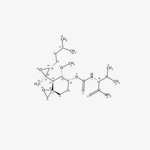 CO[C@@H]1[C@H](OC(=O)N[C@@H](C(N)=O)C(C)C)CC[C@]2(CO2)[C@H]1[C@@]1(C)O[C@@H]1CCC(C)C